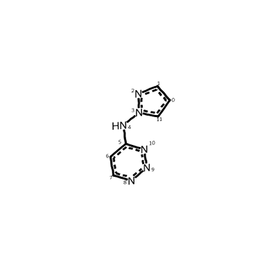 c1cnn(Nc2ccnnn2)c1